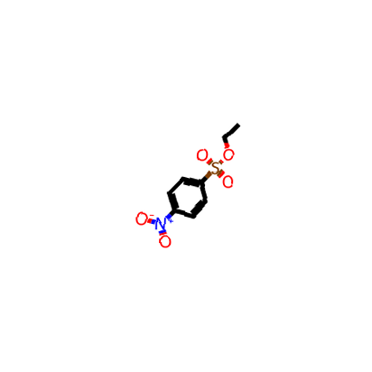 CCOS(=O)(=O)c1ccc([N+](=O)[O-])cc1